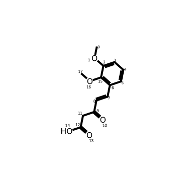 COc1cccc(C=CC(=O)CC(=O)O)c1OC